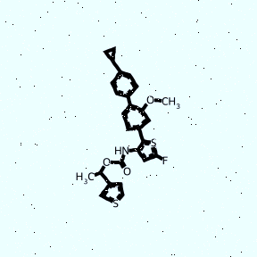 COc1cc(-c2sc(F)cc2NC(=O)OC(C)c2ccsc2)ccc1-c1ccc(C2CC2)cc1